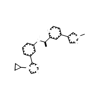 Cn1cc(-c2ccnc(C(=O)Nc3cccc(-c4nncn4C4CC4)c3)c2)cn1